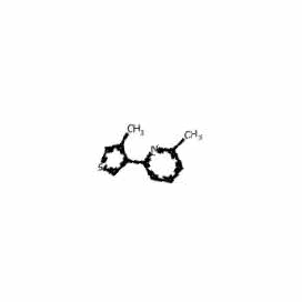 Cc1cccc(-c2cscc2C)n1